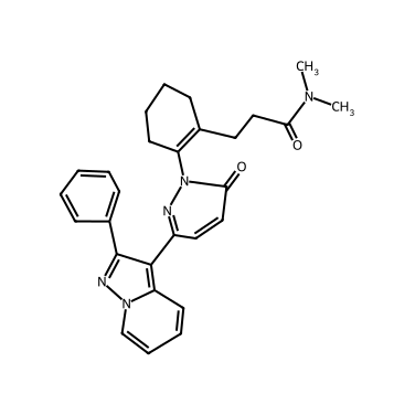 CN(C)C(=O)CCC1=C(n2nc(-c3c(-c4ccccc4)nn4ccccc34)ccc2=O)CCCC1